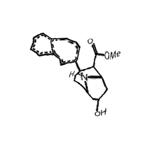 COC(=O)C1C(c2ccc3ccccc3c2)CC2C(O)CC1N2C